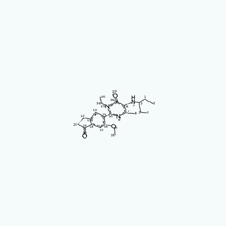 CCC(CC)Nc1c(C)nc(-c2cc3c(cc2OC)C(=O)CC3)n(CC)c1=O